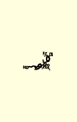 CC1(C)C(=O)N(c2ccc(C#N)c(C(F)(F)F)c2)C(=S)N1c1ccc2c(cnn2CCCO)c1